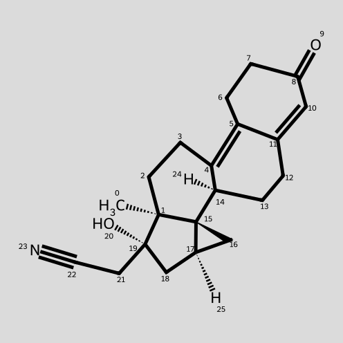 C[C@]12CCC3=C4CCC(=O)C=C4CC[C@H]3[C@@]13C[C@H]3C[C@@]2(O)CC#N